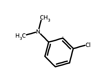 CN(C)c1[c]c(Cl)ccc1